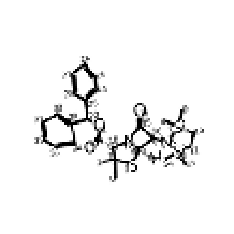 CC1(C)S[C@@H]2[C@H](N3[Si](C)(C)CC[Si]3(C)C)C(=O)N2[C@H]1C(=O)OC(c1ccccc1)c1ccccc1